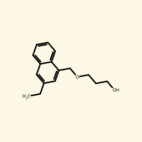 CCc1cc(COCCCO)c2ccccc2c1